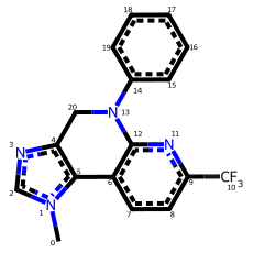 Cn1cnc2c1-c1ccc(C(F)(F)F)nc1N(c1ccccc1)C2